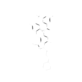 Nc1nn(CCOC2CCCCO2)c2c(Br)cc(NC(=O)c3cc(F)cc(C(F)(F)F)c3)c(Oc3cc(F)ccc3Cl)c12